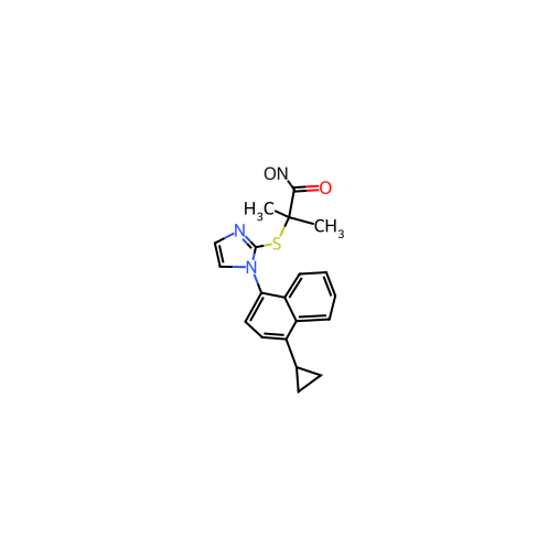 CC(C)(Sc1nccn1-c1ccc(C2CC2)c2ccccc12)C(=O)N=O